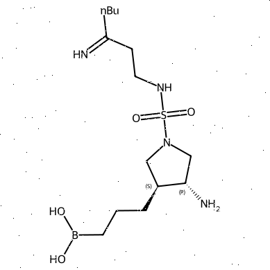 CCCCC(=N)CCNS(=O)(=O)N1C[C@H](CCCB(O)O)[C@@H](N)C1